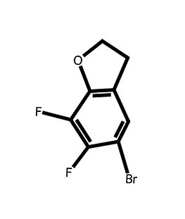 Fc1c(Br)cc2c(c1F)OCC2